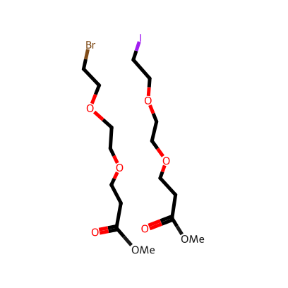 COC(=O)CCOCCOCCBr.COC(=O)CCOCCOCCI